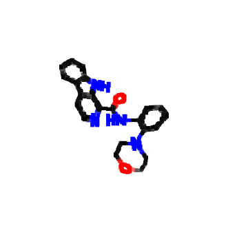 O=C(Nc1ccccc1N1CCOCC1)c1nccc2c1[nH]c1ccccc12